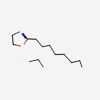 CCCCCCCCCCCC#N.CCCCCCCCCCCCCCCCCC1=NCCO1